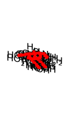 C[C@H](CCC(=O)N[C@@H](CCC(=O)NC[C@H](O)[C@@H](O)[C@H](O)[C@H](O)CO)C(=O)N[C@@H](CCC(=O)O)C(=O)N[C@@H](CCC(=O)NC[C@H](O)[C@@H](O)[C@H](O)[C@H](O)CO)C(=O)N[C@@H](CCCC(=O)O)C(=O)N[C@@H](CCC(=O)NC[C@H](O)[C@@H](O)[C@H](O)[C@H](O)CO)C(=O)N[C@H](C(=O)O)C(C)(C)S)NC(=O)c1ccc(NCc2cnc3nc(N)[nH]c(=O)c3n2)cc1